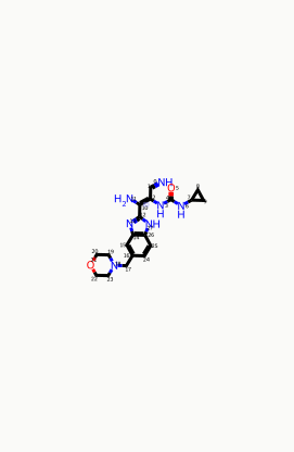 N=C/C(NC(=O)NC1CC1)=C(\N)c1nc2cc(CN3CCOCC3)ccc2[nH]1